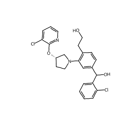 OCCc1ccc(C(O)c2ccccc2Cl)cc1N1CC[C@H](Oc2ncccc2Cl)C1